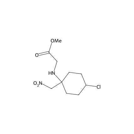 COC(=O)CNC1(C[N+](=O)[O-])CCC(Cl)CC1